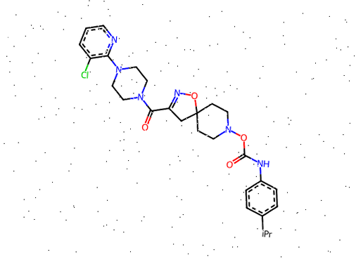 CC(C)c1ccc(NC(=O)ON2CCC3(CC2)CC(C(=O)N2CCN(c4ncccc4Cl)CC2)=NO3)cc1